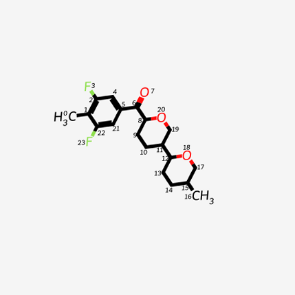 Cc1c(F)cc(C(=O)C2CCC(C3CCC(C)CO3)CO2)cc1F